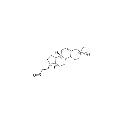 CC[C@]1(O)CCC2C(=CC[C@@H]3C2CC[C@@]2(C)C3CC[C@@H]2CC[S+]=O)C1